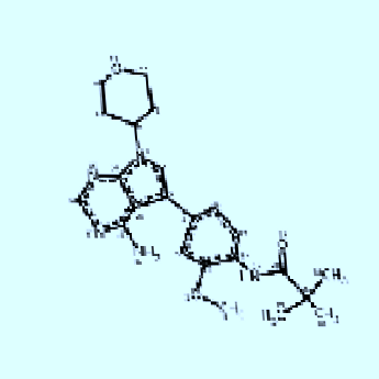 COc1cc(-c2cn(C3CCOCC3)c3ncnc(N)c23)ccc1NC(=O)C(C)(C)C